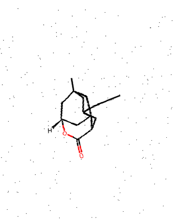 CC1CC2C(=O)O[C@H]3CC2CC(C)(C1)C3